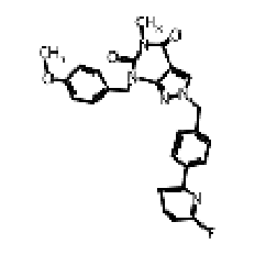 COc1ccc(Cn2c(=O)n(C)c(=O)c3cn(Cc4ccc(-c5cccc(F)n5)cc4)nc32)cc1